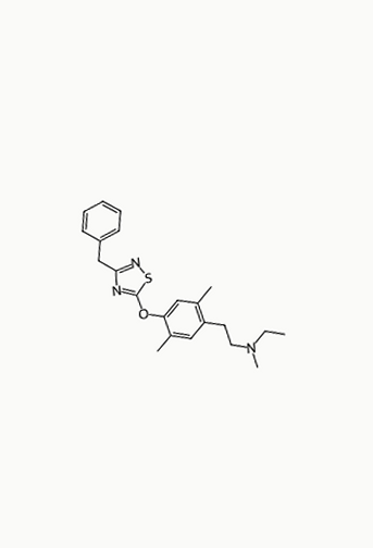 CCN(C)CCc1cc(C)c(Oc2nc(Cc3ccccc3)ns2)cc1C